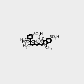 C=C(/C=C/C=C/C=C1/N(C)c2ccc(S(=O)(=O)O)cc2C1(C)C)C(C)(C)c1cc(S(=O)(=O)O)ccc1C